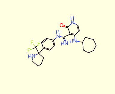 N=C(Nc1ccc(C2(C(F)(F)F)CCCCN2)cc1)c1c(NC2CCCCCC2)cc[nH]c1=O